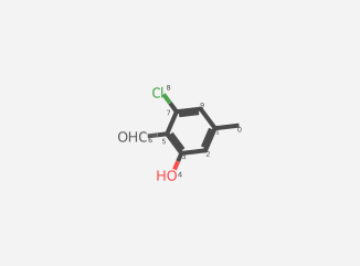 Cc1cc(O)c(C=O)c(Cl)c1